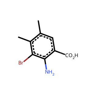 Cc1cc(C(=O)O)c(N)c(Br)c1C